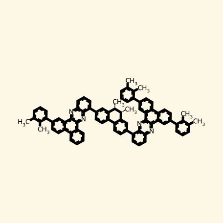 Cc1cccc(-c2ccc3c4ccccc4c4nc5c(-c6ccc7c(c6)[C@H](C)[C@H](C)c6cc(-c8cccc9nc%10c%11cc(-c%12cccc(C)c%12C)ccc%11c%11ccc(-c%12cccc(C)c%12C)cc%11c%10nc89)ccc6-7)cccc5nc4c3c2)c1C